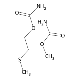 COC(N)=O.CSCCOC(N)=O